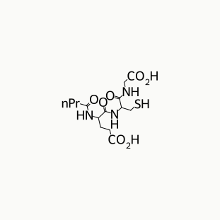 CCCC(=O)NC(CCC(=O)O)C(=O)NC(CS)C(=O)NCC(=O)O